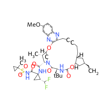 C=C[C@@H]1C[C@H]2CCCCCc3nc4ccc(OC)cc4nc3O[C@H]3CN(C(=O)[C@H](C(C)(C)C)NC(=O)O[C@@H]2C1)[C@H](C(=O)N[C@]1(C(=O)NS(=O)(=O)C2(C)CC2)C[C@H]1C(F)F)[C@@H]3C